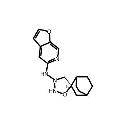 c1cc2cc(NN3C[C@]4(CC5CCC4CC5)ON3)ncc2o1